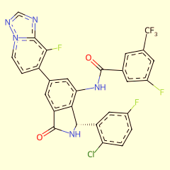 O=C(Nc1cc(-c2ccn3ncnc3c2F)cc2c1[C@H](c1cc(F)ccc1Cl)NC2=O)c1cc(F)cc(C(F)(F)F)c1